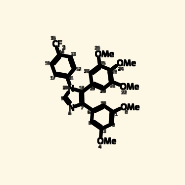 COc1cc(OC)cc(-c2ncn(-c3ccc(C(F)(F)F)cc3)c2-c2cc(OC)c(OC)c(OC)c2)c1